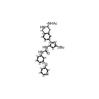 CC(=O)NC1Cc2cc(-n3nc(C(C)(C)C)cc3NC(=O)Nc3cccc(Oc4cccnc4)c3)ccc2CN1